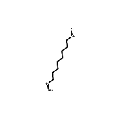 CCNCCCCCCCCNC(C)(C)C